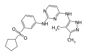 Cc1n[nH]c(Nc2ccnc(Nc3cccc(S(=O)(=O)C4CCCC4)c3)n2)c1C